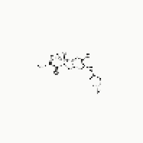 C=C(C#N)C(=O)c1cc2cc(OC3CCN(C(C)C)CC3)c(Cl)cc2[nH]1